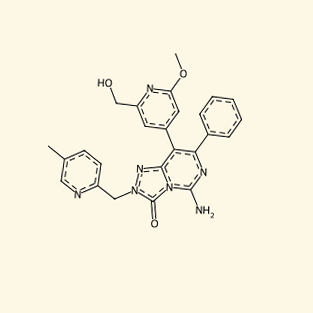 COc1cc(-c2c(-c3ccccc3)nc(N)n3c(=O)n(Cc4ccc(C)cn4)nc23)cc(CO)n1